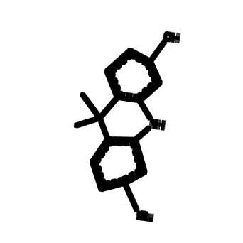 CC(C)(C)c1ccc2c(c1)Nc1cc(O)ccc1C2(C)C